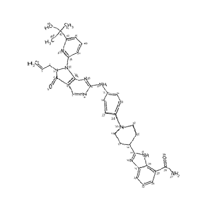 C=CCn1c(=O)c2cnc(Nc3ccc(N4CCC(c5nc6cccc(C(N)=O)c6[nH]5)CC4)cc3)nc2n1-c1cccc(C(C)(C)O)n1